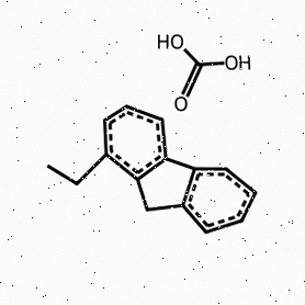 CCc1cccc2c1Cc1ccccc1-2.O=C(O)O